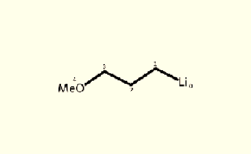 [Li][CH2]CCOC